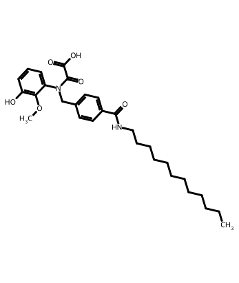 CCCCCCCCCCCCNC(=O)c1ccc(CN(C(=O)C(=O)O)c2cccc(O)c2OC)cc1